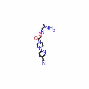 CC(N)C=NOCC(=O)N1CCN(c2ccc(C#N)cn2)CC1